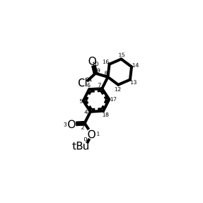 CC(C)(C)OC(=O)c1ccc(C2(C(=O)Cl)CCCCC2)cc1